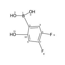 OB(O)c1cc(F)c(F)cc1O